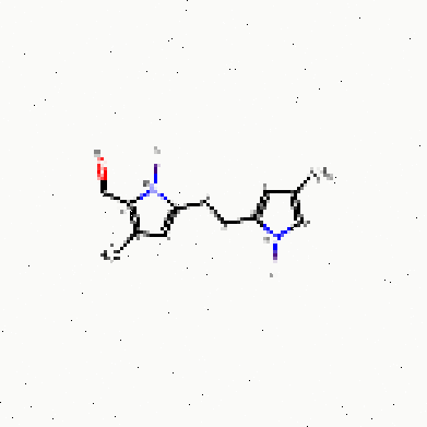 Cc1cc(CCc2cc(C)c(C=O)n2I)n(I)c1